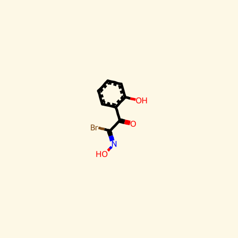 O=C(C(Br)=NO)c1ccccc1O